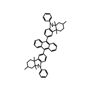 CC1CCC2(C)c3cc(-c4c5ccccc5c(-c5ccc6c(c5)C5(C)CCC(C)CC5(C)N6c5ccccc5)c5ccccc45)ccc3N(c3ccccc3)C2(C)C1